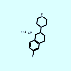 Cl.Cl.Fc1ccc2c(c1)CCC(N1CCNCC1)C2